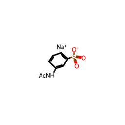 CC(=O)Nc1cccc(S(=O)(=O)[O-])c1.[Na+]